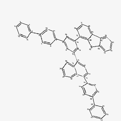 c1ccc(-c2ccc(-c3nc(-c4ccc(-c5ccc(-c6ccccc6)cc5)c5ccccc45)nc(-c4cccc5c4sc4ccccc45)n3)cc2)cc1